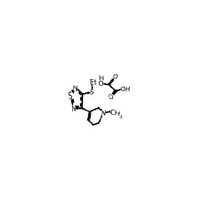 CCSc1nsnc1C1=CCCN(C)C1.O=C(O)C(=O)O